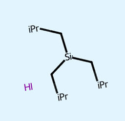 CC(C)C[Si](CC(C)C)CC(C)C.I